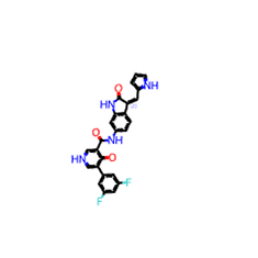 O=C1Nc2cc(NC(=O)c3c[nH]cc(-c4cc(F)cc(F)c4)c3=O)ccc2/C1=C/c1ccc[nH]1